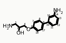 NCC(O)COc1ccc(-c2cccc(N)c2)cc1